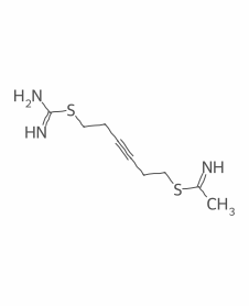 CC(=N)SCCC#CCCSC(=N)N